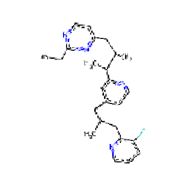 CC(C)Cc1nccc(CC(C)C(C)c2cc(CC(C)Cc3ncccc3F)ccn2)n1